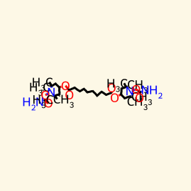 CC1(C)CC(OC(=O)CCCCCCCCC(=O)OC2CC(C)(C)N(OC(N)=O)C(C)(C)C2)CC(C)(C)N1OC(N)=O